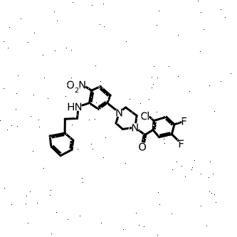 O=C(c1cc(F)c(F)cc1Cl)N1CCN(c2ccc([N+](=O)[O-])c(NCCc3ccccc3)c2)CC1